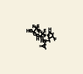 F[C@@H]1CNC[C@@H]1CNC1CC1.O=C(O)C(F)(F)F.O=C(O)C(F)(F)F